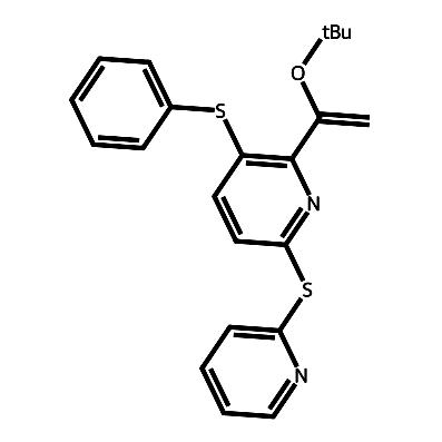 C=C(OC(C)(C)C)c1nc(Sc2ccccn2)ccc1Sc1ccccc1